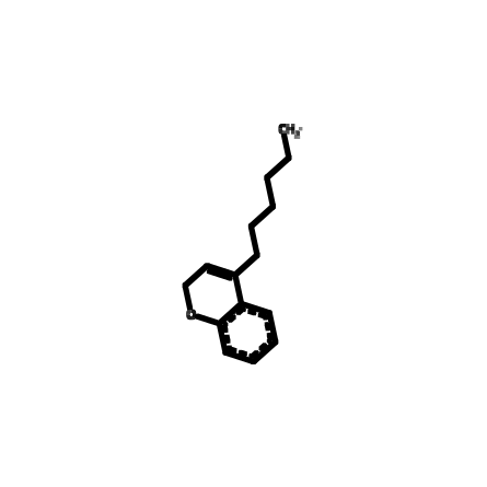 [CH2]CCCCCC1=CCOc2ccccc21